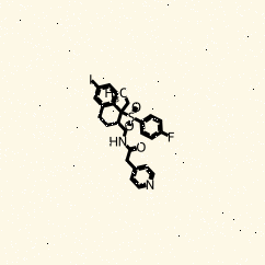 CCC1(S(=O)(=O)c2ccc(F)cc2)c2ccc(I)cc2CCC1CNC(=O)Cc1ccncc1